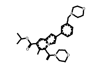 C=C(c1c(C)c(C(=O)OC(C)C)cc2cc(-c3cccc(CN4CCOCC4)c3)cn12)N1CCOCC1